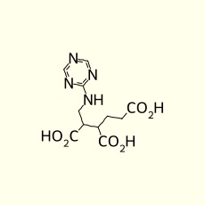 O=C(O)CCC(C(=O)O)C(CNc1ncncn1)C(=O)O